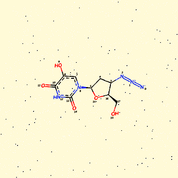 [N-]=[N+]=NC1C[C@H](n2cc(O)c(=O)[nH]c2=O)O[C@@H]1CO